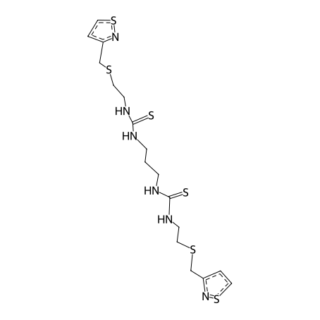 S=C(NCCCNC(=S)NCCSCc1ccsn1)NCCSCc1ccsn1